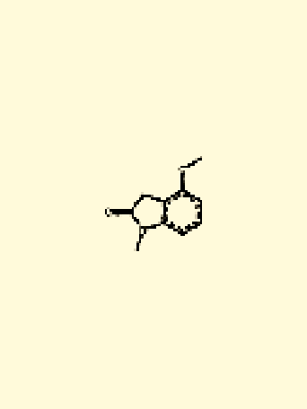 COc1cccc2c1CC(=O)N2C